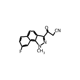 Cn1nc(C(=O)CC#N)c2ccc3ccc(F)cc3c21